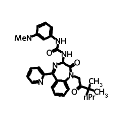 CCCC(C)(C)C(=O)CN1C(=O)C(NC(=O)Nc2cccc(NC)c2)N=C(c2ccccn2)c2ccccc21